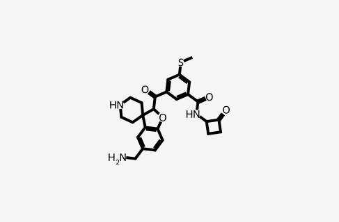 CSc1cc(C(=O)NC2CCC2=O)cc(C(=O)C2Oc3ccc(CN)cc3C23CCNCC3)c1